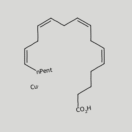 CCCCC/C=C\C/C=C\C/C=C\C/C=C\CCCC(=O)O.[Cu]